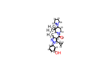 Cc1nn(-c2cccc(O)c2)c(C2CC2)c1C(=O)N1CCC(N2CCCC2)C(C)(C)C1